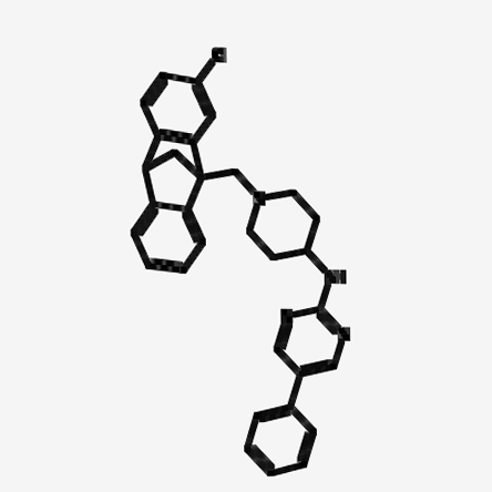 Clc1ccc2c(c1)C1(CN3CCC(Nc4ncc(-c5ccccc5)cn4)CC3)CC2c2ccccc21